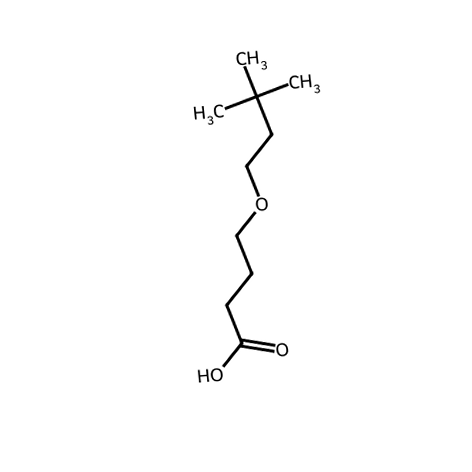 CC(C)(C)CCOCCCC(=O)O